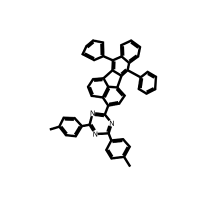 Cc1ccc(-c2nc(-c3ccc(C)cc3)nc(-c3ccc4c5c(cccc35)-c3c-4c(-c4ccccc4)c4ccccc4c3-c3ccccc3)n2)cc1